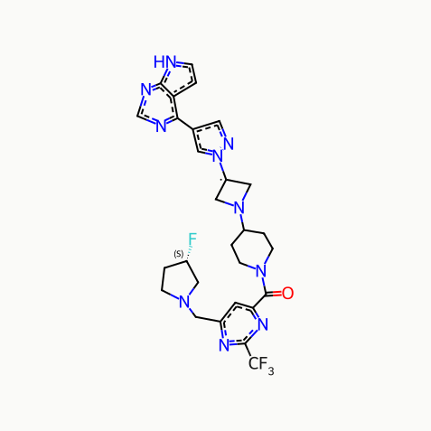 O=C(c1cc(CN2CC[C@H](F)C2)nc(C(F)(F)F)n1)N1CCC(N2C[C](n3cc(-c4ncnc5[nH]ccc45)cn3)C2)CC1